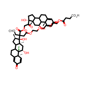 C[C@@H]1CC2C3CCC4=CC(=O)C=C[C@]4(C)[C@@]3(F)[C@@H](O)C[C@]2(C)[C@@]1(O)C(CC=O)(CC(=O)OCCOCCOCCOC(=O)CCC(=O)O)C(=O)OCC(=O)[C@@]1(O)CCC2C3CCC4=CC(=O)C=C[C@]4(C)C3[C@@H](O)C[C@@]21C